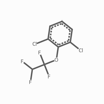 FC(F)C(F)(F)Oc1c(Cl)c[c]cc1Cl